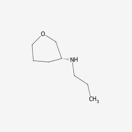 CCCN[C@@H]1CCCOC1